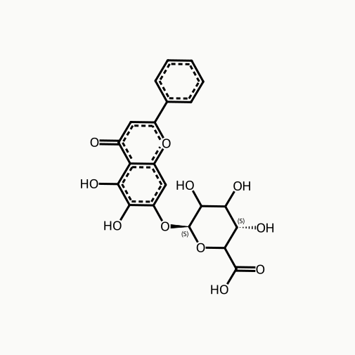 O=C(O)C1O[C@@H](Oc2cc3oc(-c4ccccc4)cc(=O)c3c(O)c2O)C(O)C(O)[C@@H]1O